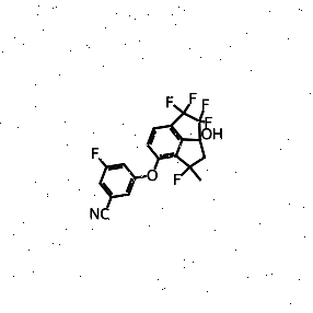 CC1(F)CC2(O)c3c(ccc(Oc4cc(F)cc(C#N)c4)c31)C(F)(F)C2(F)F